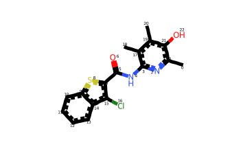 Cc1nc(NC(=O)c2sc3ccccc3c2Cl)c(C)c(C)c1O